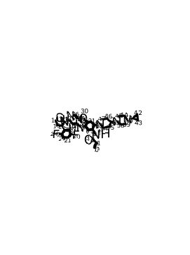 C=CC(=O)Nc1cc(Nc2cc(N3OCC[C@@H]3c3cc(F)ccc3F)ncn2)c(OC)cc1N1CCC(N2CCN(C3CC3)CC2)CC1